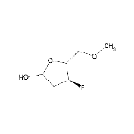 COC[C@H]1OC(O)C[C@@H]1F